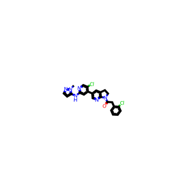 Cn1nccc1Nc1cc(-c2cnc3c(c2)CCN3C(=O)Cc2ccccc2Cl)c(Cl)cn1